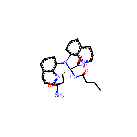 CCCC(=O)N[C@](CCC(N)=O)(C(=O)O)N(c1cccc2cccnc12)c1cccc2cccnc12